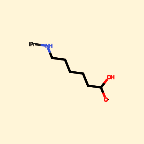 CC(C)NCCCCCC([O])O